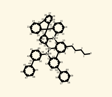 CCCCCc1cc2c3c(c1)N1c4ccccc4C4(c5ccccc5-c5ccccc54)c4cccc(c41)B3N(c1cccc(-c3ccccc3)c1)c1ccc(-c3ccccc3)cc1-2